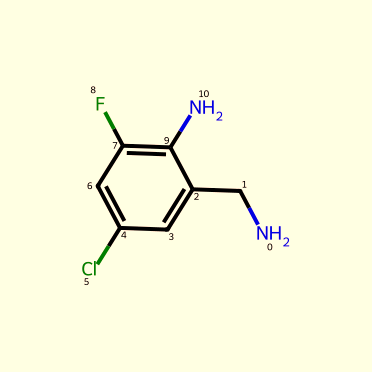 NCc1cc(Cl)cc(F)c1N